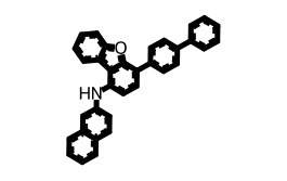 c1ccc(-c2ccc(-c3ccc(Nc4ccc5ccccc5c4)c4c3oc3ccccc34)cc2)cc1